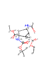 CCOC(=O)[C@H]1C2C(NC(C)=O)CC(NC(=O)OC(C)(C)C)(C(=O)OCC)C21